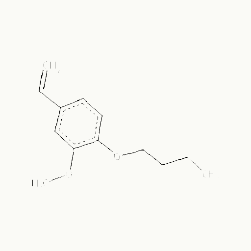 C=Cc1ccc(OCCCC)c(OC)c1